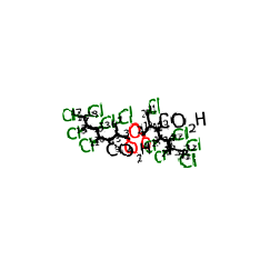 O=C(OC(=O)C(CCl)C(C(=O)O)C(Cl)/C(Cl)=C(\Cl)C(Cl)Cl)C(CCl)C(C(=O)O)C(Cl)/C(Cl)=C(\Cl)C(Cl)Cl